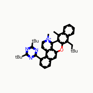 Cc1c2c(c(CC(C)(C)C)c3ccccc13)Oc1cc3cccc(-c4nc(C(C)(C)C)nc(C(C)(C)C)n4)c3c3cc[n+](C)c-2c13